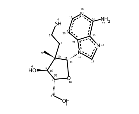 C[C@]1(CCS)[C@H](O)[C@@H](CO)O[C@H]1n1cnc2c(N)ncnc21